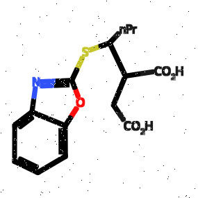 CCCC(Sc1nc2ccccc2o1)C(CC(=O)O)C(=O)O